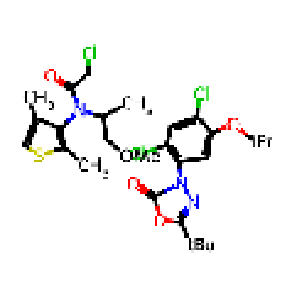 CC(C)Oc1cc(-n2nc(C(C)(C)C)oc2=O)c(Cl)cc1Cl.COCC(C)N(C(=O)CCl)c1c(C)csc1C